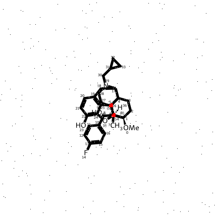 CO[C@]12CCC3(CC1(C)[C@H](O)c1ccc(F)cc1)C1Cc4ccc(O)c5c4[C@@]3(CCN1CC1CC1)[C@@H]2O5